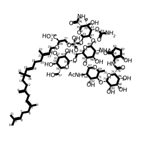 C=C(C/C=C(\C)CCC=C(C)C)CCC(C)(C)/C=C/CC/C(C)=C/CO[C@H](COP(=O)(O)O[C@H]1O[C@H](C(N)=O)[C@@](C)(O)[C@H](OC(N)=O)[C@H]1O[C@@H]1O[C@H](CO[C@@H]2O[C@H](CO)[C@@H](O)[C@H](O)[C@H]2O)[C@@H](O[C@@H]2OC(C)[C@@H](O[C@@H]3O[C@H](C(=O)NC4=C(O)CCC4=O)[C@H](O)[C@H](O)[C@H]3O)[C@H](O)[C@H]2NC(C)=O)[C@H](O)[C@H]1NC(C)=O)C(=O)O